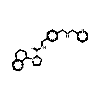 O=C(NCc1ccc(CNCc2ccccn2)cc1)[C@@H]1CCCN1C1CCCc2cccnc21